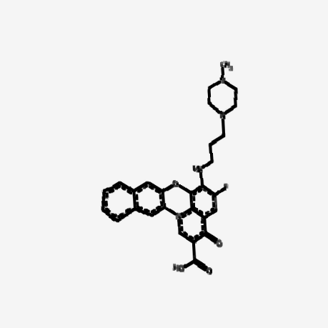 CN1CCN(CCCNc2c(F)cc3c(=O)c(C(=O)O)cn4c3c2Oc2cc3ccccc3cc2-4)CC1